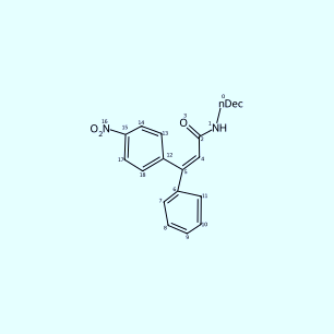 CCCCCCCCCCNC(=O)C=C(c1ccccc1)c1ccc([N+](=O)[O-])cc1